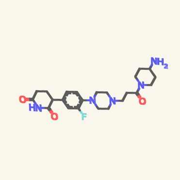 NC1CCN(C(=O)CCN2CCN(c3ccc(C4CCC(=O)NC4=O)cc3F)CC2)CC1